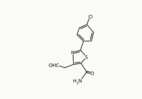 NC(=O)c1sc(-c2ccc(Cl)cc2)nc1C[C]=O